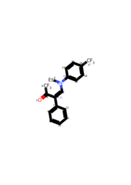 CCN(/C=C(\C(=O)C(F)(F)F)c1ccccc1)c1ccc(C(F)(F)F)cc1